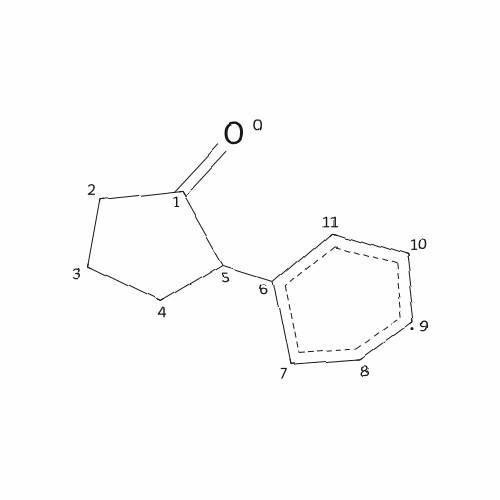 O=C1CCCC1c1cc[c]cc1